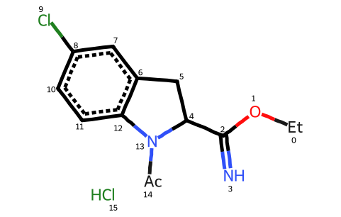 CCOC(=N)C1Cc2cc(Cl)ccc2N1C(C)=O.Cl